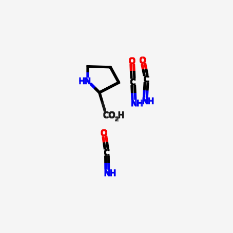 N=C=O.N=C=O.N=C=O.O=C(O)C1CCCN1